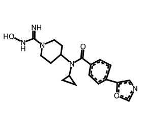 N=C(NO)N1CCC(N(C(=O)c2ccc(-c3cnco3)cc2)C2CC2)CC1